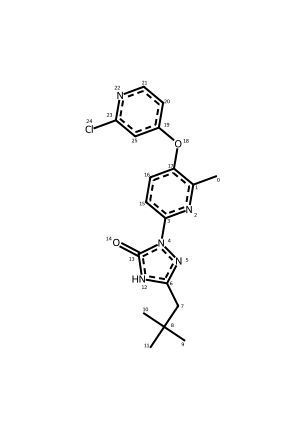 Cc1nc(-n2nc(CC(C)(C)C)[nH]c2=O)ccc1Oc1ccnc(Cl)c1